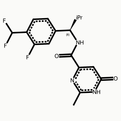 Cc1nc(C(=O)N[C@@H](c2ccc(C(F)F)c(F)c2)C(C)C)cc(=O)[nH]1